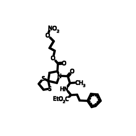 CCOC(=O)C(CCc1ccccc1)NC(C)C(=O)N1CC2(CC1C(=O)OCCCO[N+](=O)[O-])SCCS2